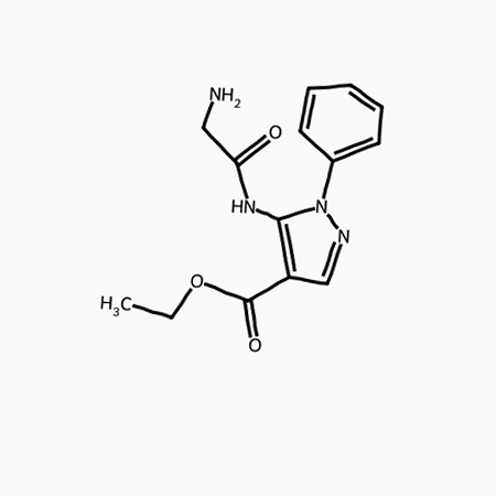 CCOC(=O)c1cnn(-c2ccccc2)c1NC(=O)CN